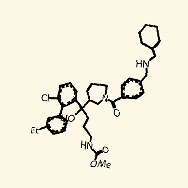 CCc1cccc(-c2c(Cl)cccc2C(O)(CCCNC(=O)OC)C2CCCN(C(=O)c3ccc(CNCC4CCCCC4)cc3)C2)c1